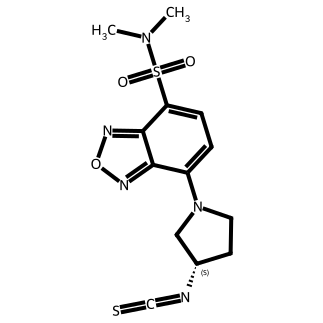 CN(C)S(=O)(=O)c1ccc(N2CC[C@H](N=C=S)C2)c2nonc12